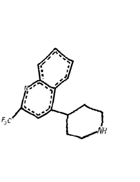 FC(F)(F)c1cc(C2CCNCC2)c2ccccc2n1